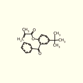 C=C(C)C(=O)Oc1ccc(C(C)(C)C)cc1C(=O)c1ccccc1